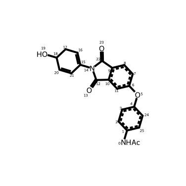 CC(=O)Nc1ccc(Oc2ccc3c(c2)C(=O)N(C2=CCC(O)C=C2)C3=O)cc1